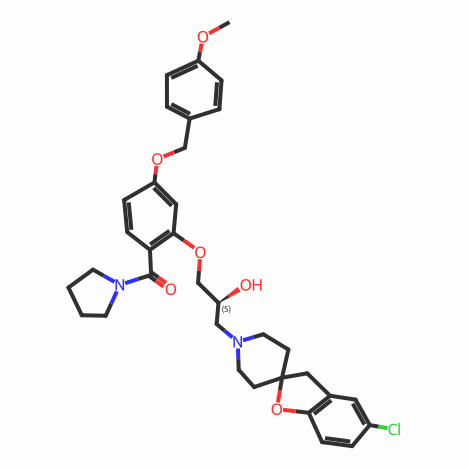 COc1ccc(COc2ccc(C(=O)N3CCCC3)c(OC[C@@H](O)CN3CCC4(CC3)Cc3cc(Cl)ccc3O4)c2)cc1